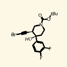 CC(C)(C)OC(=O)N1CC[C@](O)(c2ccc(F)c(F)c2)[C@@H](C#CBr)C1